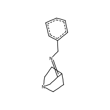 c1ccc(CN=C2CN3CCC2CC3)cc1